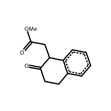 COC(=O)CC1C(=O)CCc2ccccc21